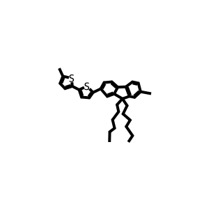 CCCCCCC1(CCCCCC)c2cc(C)ccc2-c2ccc(-c3ccc(-c4ccc(C)s4)s3)cc21